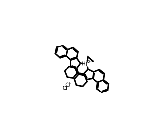 C1=C(C2CCCCC2)[CH]([Hf+2]2([CH]3C(C4CCCCC4)=Cc4c3ccc3ccccc43)[CH2][CH2]2)c2ccc3ccccc3c21.[Cl-].[Cl-]